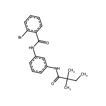 CCC(C)(C)C(=O)Nc1cccc(NC(=O)c2ccccc2Br)c1